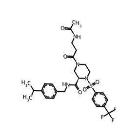 CC(=O)NCCC(=O)N1CCN(S(=O)(=O)c2ccc(C(F)(F)F)cc2)[C@@H](C(=O)NCc2ccc(C(C)C)cc2)C1